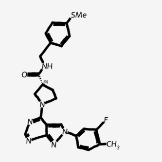 CSc1ccc(CNC(=O)[C@@H]2CCN(c3ncnc4nn(-c5ccc(C)c(F)c5)cc34)C2)cc1